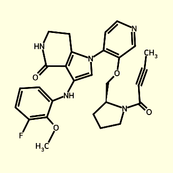 CC#CC(=O)N1CCC[C@H]1COc1cnccc1-n1cc(Nc2cccc(F)c2OC)c2c1CCNC2=O